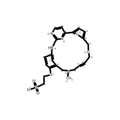 CCS(=O)(=O)CCOc1ccc2cc1CN(C)C/C=C/COCc1ccc(o1)-c1ccnc(n1)N2